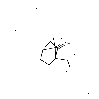 CCC12CCC(CC1=N)C2(C)C